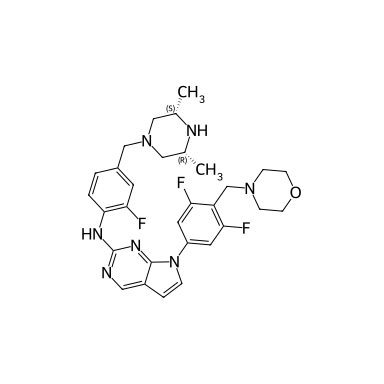 C[C@@H]1CN(Cc2ccc(Nc3ncc4ccn(-c5cc(F)c(CN6CCOCC6)c(F)c5)c4n3)c(F)c2)C[C@H](C)N1